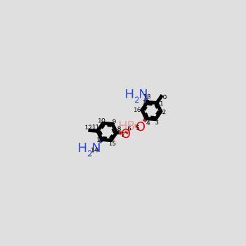 Cc1ccc(OBOc2ccc(C)c(N)c2)cc1N